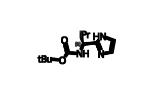 CC(C)[C@H](NC(=O)OC(C)(C)C)c1ncc[nH]1